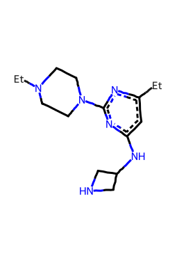 CCc1cc(NC2CNC2)nc(N2CCN(CC)CC2)n1